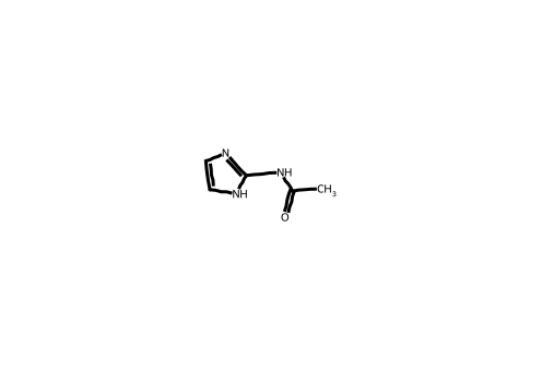 CC(=O)Nc1ncc[nH]1